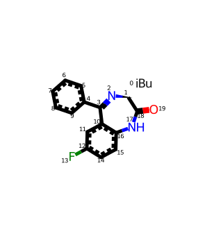 CC[C@H](C)[C@@H]1N=C(c2ccccc2)c2cc(F)ccc2NC1=O